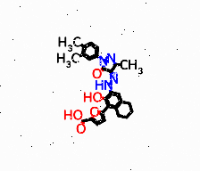 CC1=NN(c2ccc(C)c(C)c2)C(=O)/C1=N\Nc1cc2c(c(-c3ccc(C(=O)O)o3)c1O)CCCC2